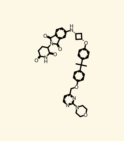 CC(C)(c1ccc(OCc2ccnc(N3CCOCC3)n2)cc1)c1ccc(O[C@H]2C[C@@H](Nc3ccc4c(c3)C(=O)N(C3CCC(=O)NC3=O)C4=O)C2)cc1